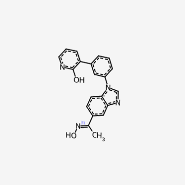 C/C(=N\O)c1ccc2c(c1)ncn2-c1cccc(-c2cccnc2O)c1